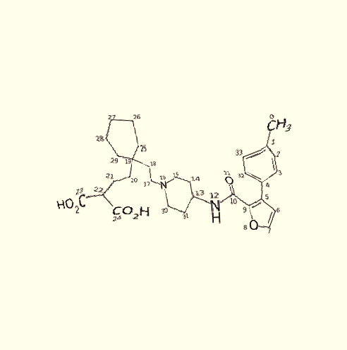 Cc1ccc(-c2ccoc2C(=O)NC2CCN(CCC3(CCC(C(=O)O)C(=O)O)CCCCC3)CC2)cc1